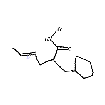 C/C=C/CC(CC1CCCC1)C(=O)NC(C)C